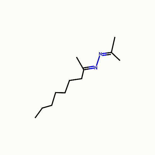 CCCCCCC/C(C)=N/N=C(C)C